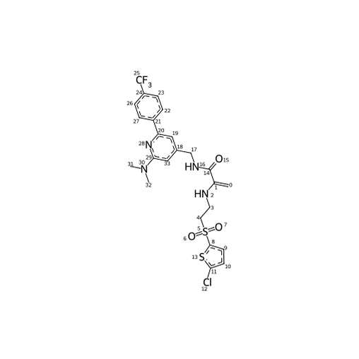 C=C(NCCS(=O)(=O)c1ccc(Cl)s1)C(=O)NCc1cc(-c2ccc(C(F)(F)F)cc2)nc(N(C)C)c1